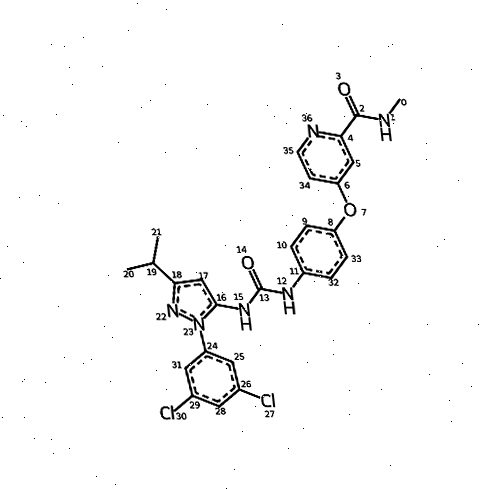 CNC(=O)c1cc(Oc2ccc(NC(=O)Nc3cc(C(C)C)nn3-c3cc(Cl)cc(Cl)c3)cc2)ccn1